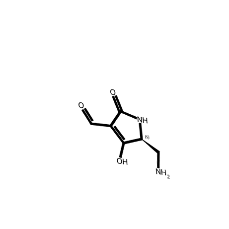 NC[C@@H]1NC(=O)C(C=O)=C1O